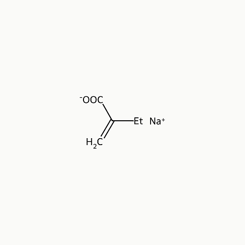 C=C(CC)C(=O)[O-].[Na+]